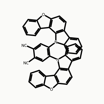 N#Cc1cc(-n2c3ccccc3c3ccc4oc5ccccc5c4c32)c(-n2c3ccccc3c3ccc4oc5ccccc5c4c32)cc1C#N